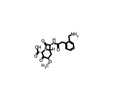 CO[C@@H]1C[C@H]2[C@H](NC(=O)Cc3ccccc3CN)C(=O)N2[C@@H](C(=O)O)C1=O